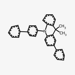 CC1(C)c2ccccc2N(c2ccc(-c3ccccc3)cc2)c2ccc(-c3ccccc3)cc21